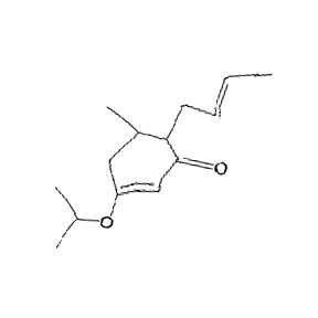 C/C=C/CC1C(=O)C=C(OC(C)C)CC1C